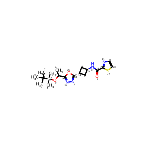 CC(O[Si](C)(C)C(C)(C)C)c1nnc([C@H]2C[C@H](NC(=O)c3nccs3)C2)o1